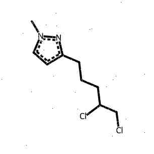 Cn1ccc(CCCC(Cl)CCl)n1